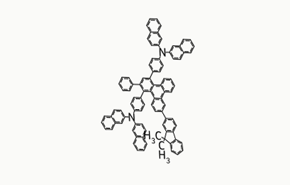 CC1(C)c2ccccc2-c2ccc(-c3ccc4c(c3)c3ccccc3c3c(-c5ccc(N(c6ccc7ccccc7c6)c6ccc7ccccc7c6)cc5)cc(-c5ccccc5)c(-c5ccc(N(c6ccc7ccccc7c6)c6ccc7ccccc7c6)cc5)c43)cc21